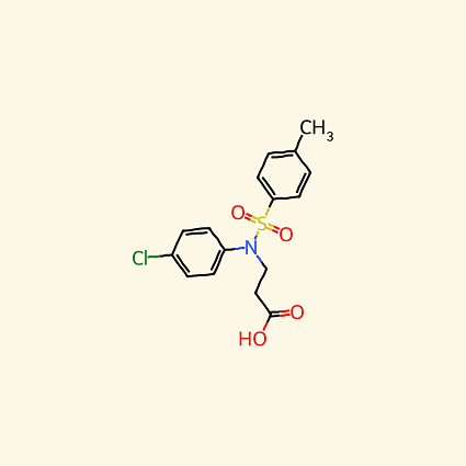 Cc1ccc(S(=O)(=O)N(CCC(=O)O)c2ccc(Cl)cc2)cc1